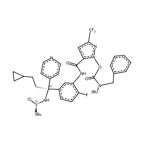 CC(C)(C)N(Cc1ccccc1)C(=O)On1nc(C(F)(F)F)cc1C(=O)Nc1cc([C@@](CCC2CC2)(N[S@+]([O-])C(C)(C)C)c2ccncc2)ccc1F